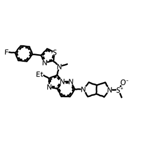 CCc1nc2ccc(N3CC4CN([S+](C)[O-])CC4C3)nn2c1N(C)c1nc(-c2ccc(F)cc2)cs1